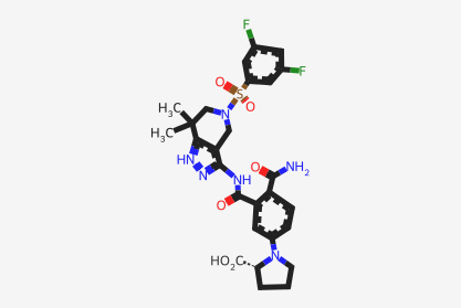 CC1(C)CN(S(=O)(=O)c2cc(F)cc(F)c2)Cc2c(NC(=O)c3cc(N4CCC[C@@H]4C(=O)O)ccc3C(N)=O)n[nH]c21